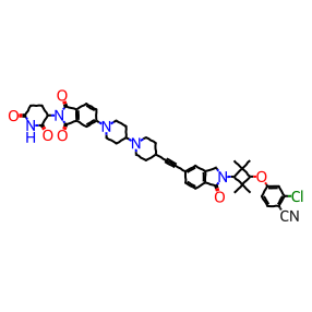 CC1(C)C(Oc2ccc(C#N)c(Cl)c2)C(C)(C)C1N1Cc2cc(C#CC3CCN(C4CCN(c5ccc6c(c5)C(=O)N(C5CCC(=O)NC5=O)C6=O)CC4)CC3)ccc2C1=O